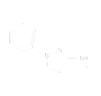 CCNC1=NN(c2c[c]ccc2)CO1